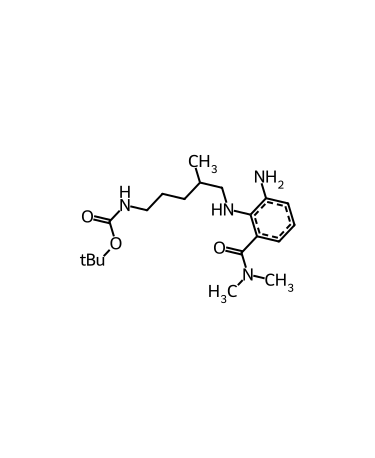 CC(CCCNC(=O)OC(C)(C)C)CNc1c(N)cccc1C(=O)N(C)C